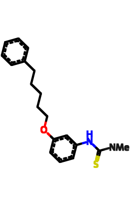 CNC(=S)Nc1cccc(OCCCCCc2ccccc2)c1